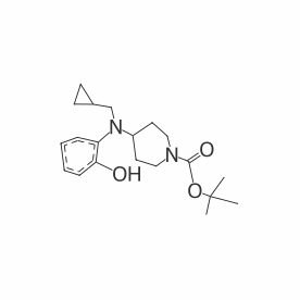 CC(C)(C)OC(=O)N1CCC(N(CC2CC2)c2ccccc2O)CC1